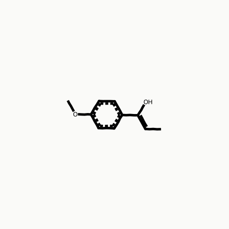 CC=C(O)c1ccc(OC)cc1